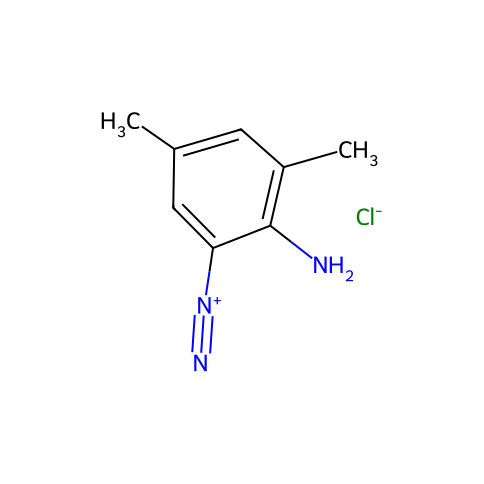 Cc1cc(C)c(N)c([N+]#N)c1.[Cl-]